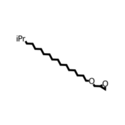 CC(C)CCCCCCCCCCCCCCCOCC1CO1